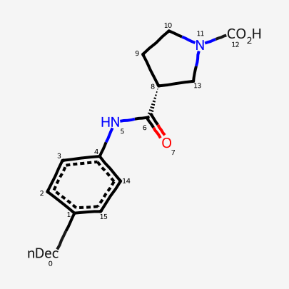 CCCCCCCCCCc1ccc(NC(=O)[C@@H]2CCN(C(=O)O)C2)cc1